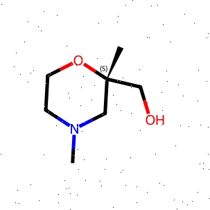 CN1CCO[C@](C)(CO)C1